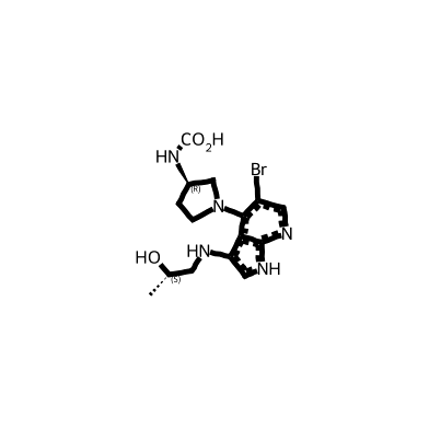 C[C@H](O)CNc1c[nH]c2ncc(Br)c(N3CC[C@@H](NC(=O)O)C3)c12